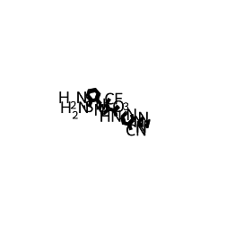 N#Cc1cc(NC(=O)c2cnn(-c3cccc(N)c3SN)c2C(F)(F)F)cnc1-n1nccn1